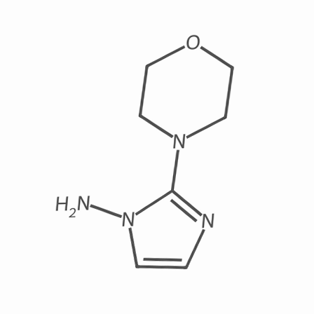 Nn1ccnc1N1CCOCC1